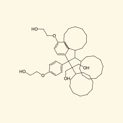 OCCOc1ccc(C(c2ccc(OCCO)cc2)(C(C2CCCCCCCCC2)C2CCCCCCCCC2)C(CO)(CO)C2CCCCCCCCC2)cc1